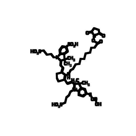 CC1(C)C(/C=C/C2=C(NCCCCCCCCCCC(=O)ON3C(=O)CCC3=O)C(=C/C=C3/N(CCCCS(=O)(=O)O)c4ccc(S(=O)(=O)O)cc4C3(C)C)/CCC2)=[N+](CCCCS(=O)(=O)O)c2ccc(SOOO)cc21